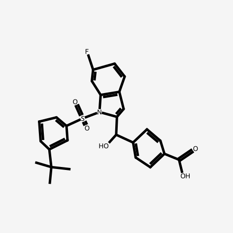 CC(C)(C)c1cccc(S(=O)(=O)n2c(C(O)c3ccc(C(=O)O)cc3)cc3ccc(F)cc32)c1